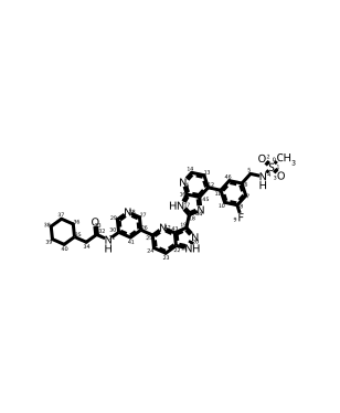 CS(=O)(=O)NCc1cc(F)cc(-c2ccnc3[nH]c(-c4n[nH]c5ccc(-c6cncc(NC(=O)CC7CCCCC7)c6)nc45)nc23)c1